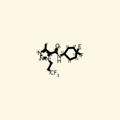 Cc1nnn(CCC(F)(F)F)c1C(=O)NC1CCC(F)(F)CC1